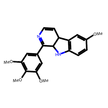 COc1ccc2c(c1)C1C=CN=C(c3cc(OC)c(OC)c(OC)c3)C1N2